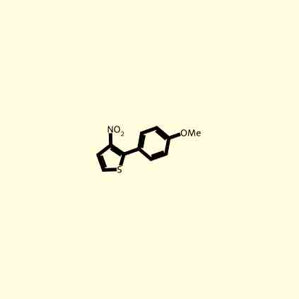 COc1ccc(-c2sccc2[N+](=O)[O-])cc1